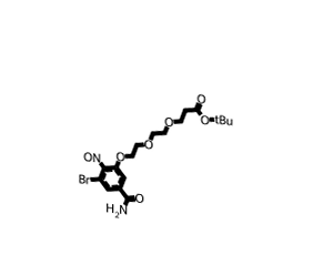 CC(C)(C)OC(=O)CCOCCOCCOc1cc(C(N)=O)cc(Br)c1N=O